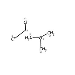 CN(C)C.ClCCl